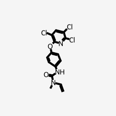 C=CN(C)C(=O)Nc1ccc(Oc2nc(Cl)c(Cl)cc2Cl)cc1